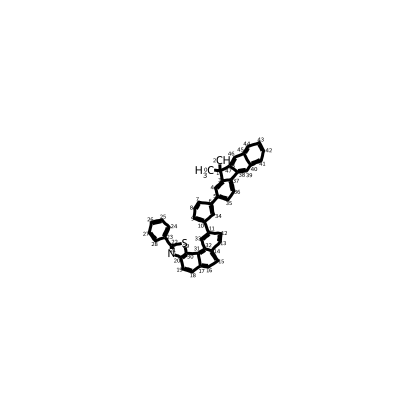 CC1(C)c2cc(-c3cccc(-c4ccc5ccc6ccc7nc(-c8ccccc8)sc7c6c5c4)c3)ccc2-c2cc3ccccc3cc21